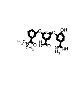 CN(C)C(=O)c1cccc(Oc2cc(C(=O)O)cc(Oc3cc(C(=N)N)ccc3O)n2)c1